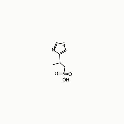 CC(CS(=O)(=O)O)c1cscn1